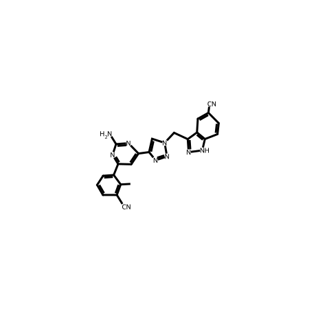 Cc1c(C#N)cccc1-c1cc(-c2cn(Cc3n[nH]c4ccc(C#N)cc34)nn2)nc(N)n1